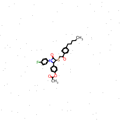 CCCCCc1ccc(C(=O)CSC2C(=O)N(c3ccc(F)cc3)C2c2ccc(OC(C)=O)cc2)cc1